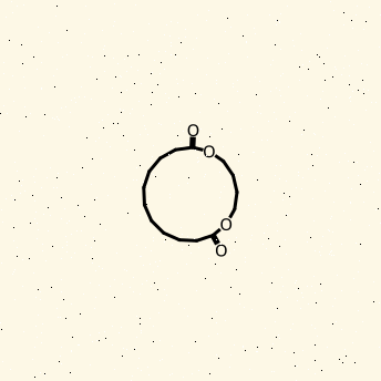 O=C1CCCCCCCCCC(=O)OCCCCO1